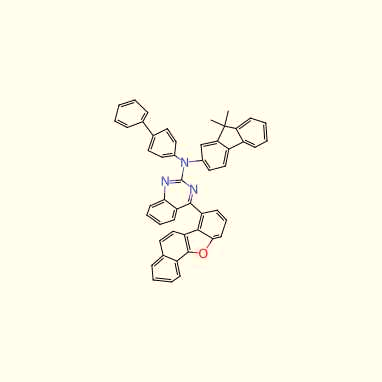 CC1(C)c2ccccc2-c2ccc(N(c3ccc(-c4ccccc4)cc3)c3nc(-c4cccc5oc6c7ccccc7ccc6c45)c4ccccc4n3)cc21